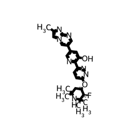 Cc1cn2cc(-c3cnc(-c4ccc(O[C@@H]5CC(C)(C)NC(C)(C)[C@@H]5F)nn4)c(O)c3)cnc2n1